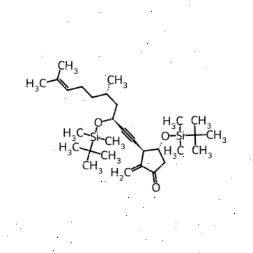 C=C1C(=O)C[C@@H](O[Si](C)(C)C(C)(C)C)[C@@H]1C#C[C@H](C[C@@H](C)CCC=C(C)C)O[Si](C)(C)C(C)(C)C